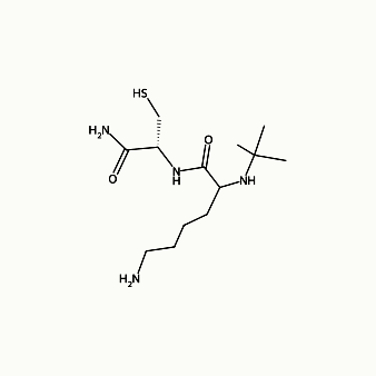 CC(C)(C)NC(CCCCN)C(=O)N[C@@H](CS)C(N)=O